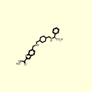 O=C(NO)c1cc2ccc(CNCC3CCC(CN[C@H](C(=O)O)c4ccccc4)CC3)cc2s1